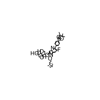 CC1OB(c2ccc(-c3nc4cc(O[C@@H]5CO[C@H]6[C@@H]5OC[C@H]6O)n(COCC[Si](C)(C)C)c4cc3F)cc2)OC1(C)C